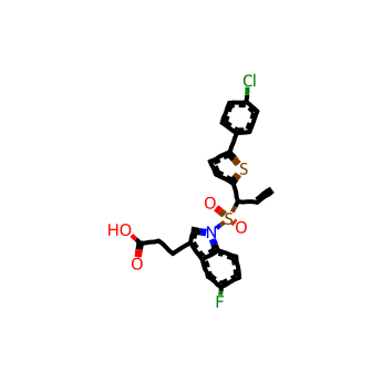 C=CC(c1ccc(-c2ccc(Cl)cc2)s1)S(=O)(=O)n1cc(CCC(=O)O)c2cc(F)ccc21